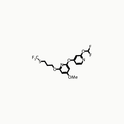 COc1cc(OCCCSC(F)(F)F)nc(Oc2ccnc(OC(F)F)c2)c1